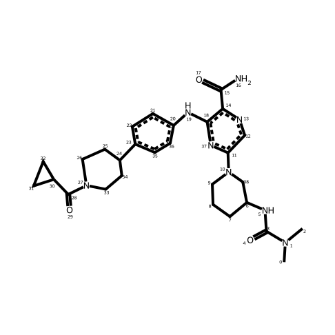 CN(C)C(=O)NC1CCCN(c2cnc(C(N)=O)c(Nc3ccc(C4CCN(C(=O)C5CC5)CC4)cc3)n2)C1